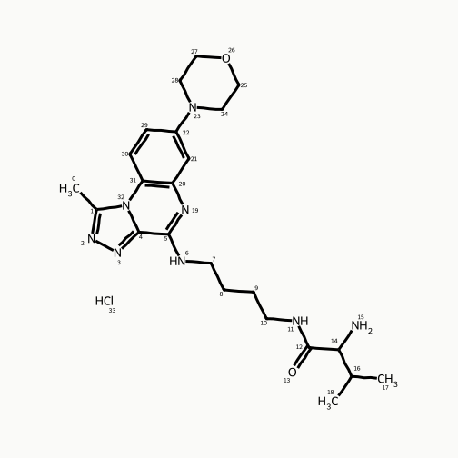 Cc1nnc2c(NCCCCNC(=O)C(N)C(C)C)nc3cc(N4CCOCC4)ccc3n12.Cl